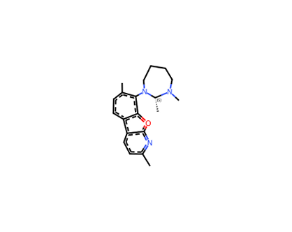 Cc1ccc2c(n1)oc1c(N3CCCCN(C)[C@@H]3C)c(C)ccc12